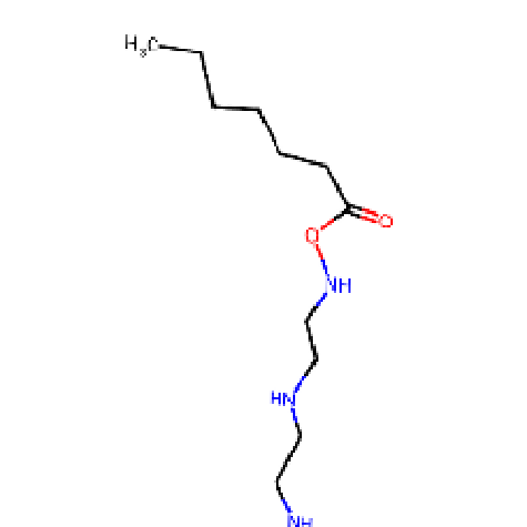 CCCCCCC(=O)ONCCNCCN